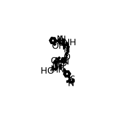 Cc1ncsc1-c1ccc(CNC(=O)[C@@H]2C[C@@H](O)CN2C(=O)[C@](C)(c2cc(OCCN3Cc4[nH]c5nnc(-c6ccccc6O)cc5c4C3)no2)C(C)C)cc1